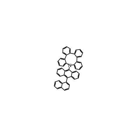 c1ccc2c(-c3c4ccccc4c(-n4c5ccccc5c5ccccc5c5ccccc5c5ccccc54)c4ccccc34)cccc2c1